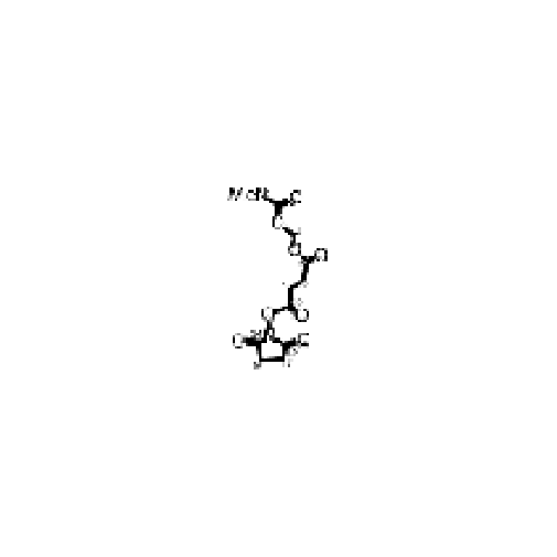 CNC(=O)OCOC(=O)CCC(=O)ON1C(=O)CCC1=O